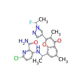 Cc1cc(C(C)Nc2ccc(Cl)nc2C(N)=O)c2oc(-c3cnn(C(C)F)c3)c(C)c(=O)c2c1